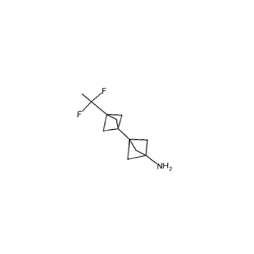 CC(F)(F)C12CC(C34CC(N)(C3)C4)(C1)C2